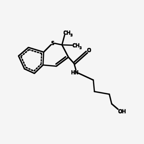 CC1(C)Sc2ccccc2C=C1C(=O)NCCCCO